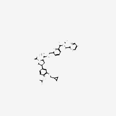 CC(=O)N1CC(c2ccc(OC(F)F)c(OCC3CC3)c2)C[C@@H]1C(=O)NCc1cccc(C(=O)N(C)Cc2ncccn2)n1